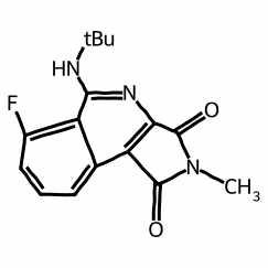 CN1C(=O)c2nc(NC(C)(C)C)c3c(F)cccc3c2C1=O